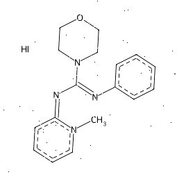 Cn1ccccc1=NC(=Nc1ccccc1)N1CCOCC1.I